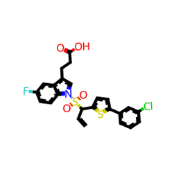 C=CC(c1ccc(-c2cccc(Cl)c2)s1)S(=O)(=O)n1cc(CCC(=O)O)c2cc(F)ccc21